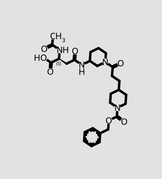 CC(=O)N[C@@H](CC(=O)NC1CCCN(C(=O)CCC2CCN(C(=O)OCc3ccccc3)CC2)C1)C(=O)O